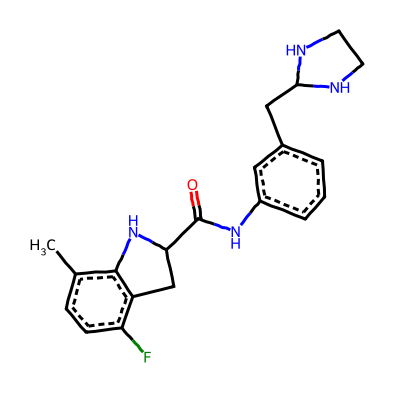 Cc1ccc(F)c2c1NC(C(=O)Nc1cccc(CC3NCCN3)c1)C2